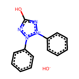 Oc1nn(-c2ccccc2)[n+](-c2ccccc2)n1.[OH-]